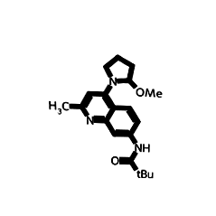 COC1CCCN1c1cc(C)nc2cc(NC(=O)C(C)(C)C)ccc12